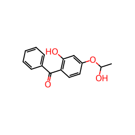 CC(O)Oc1ccc(C(=O)c2ccccc2)c(O)c1